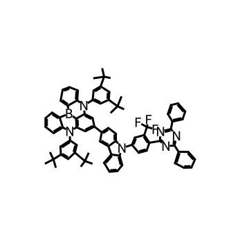 CC(C)(C)c1cc(N2c3ccccc3B3c4ccccc4N(c4cc(C(C)(C)C)cc(C(C)(C)C)c4)c4cc(-c5ccc6c(c5)c5ccccc5n6-c5ccc(-c6nc(-c7ccccc7)nc(-c7ccccc7)n6)c(C(F)(F)F)c5)cc2c43)cc(C(C)(C)C)c1